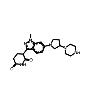 Cn1nc(C2CCC(=O)NC2=O)c2ccc(N3CCC(N4CCNCC4)C3)cc21